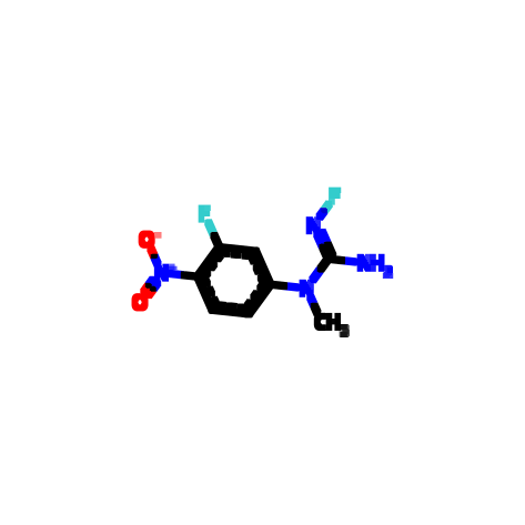 CN(C(N)=NF)c1ccc([N+](=O)[O-])c(F)c1